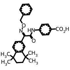 CC1(C)CCC(C)(C)c2cc(C(=NOCc3ccccc3)C(=O)Nc3ccc(C(=O)O)cc3)ccc21